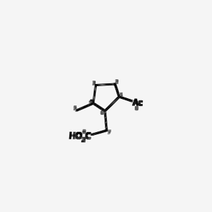 CC(=O)C1CCC(C)C1CC(=O)O